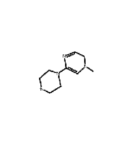 CN1C=C(N2CC[N]CC2)N=CC1